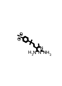 Cc1nc(N)nc(N)c1C=CC(C)(C)c1ccc(S(C)(=O)=O)cc1